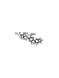 Cc1nc(N2CCC3(CC2)CO[C@@H](C)C3N)c(CO)nc1-c1ccc2ccoc2c1